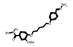 COc1cc(C(=O)N(C(C)C)C(C)C)ccc1OCCCCCOc1ccc(C=NN)cc1